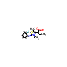 CCC(C(=O)O)C1C(C)SC(=Nc2ccccc2F)N1C